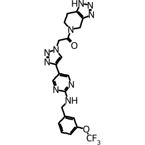 O=C(Cn1cc(-c2cnc(NCc3cccc(OC(F)(F)F)c3)nc2)nn1)N1CCc2[nH]nnc2C1